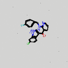 O=C(c1cccnc1NCc1ccc(F)cc1)c1c[nH]c2cc(Cl)ccc12